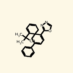 CC(C)(C)C1=CC=CCC12CC(c1ccccc1)=CC=C2c1nnco1